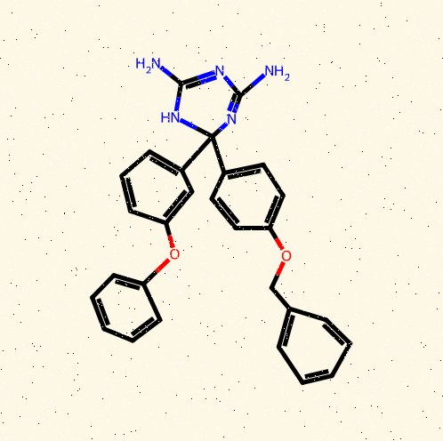 NC1=NC(c2ccc(OCc3ccccc3)cc2)(c2cccc(Oc3ccccc3)c2)NC(N)=N1